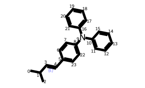 CC(C)/C=C/c1ccc(N(c2ccccc2)c2ccccc2)cc1